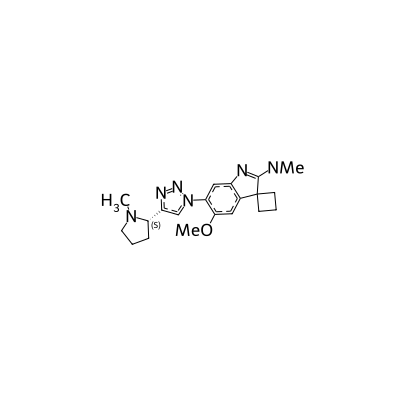 CNC1=Nc2cc(-n3cc([C@@H]4CCCN4C)nn3)c(OC)cc2C12CCC2